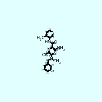 Cc1ccncc1NC(=O)c1nc(Cl)c(N(C)Cc2ccccc2)nc1N